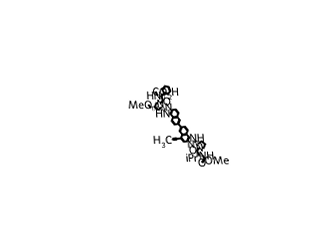 CC#Cc1cc2nc([C@@H]3CCCN3C(=O)[C@@H](NC(=O)OC)C(C)C)[nH]c2c2ccc(-c3ccc4c(ccc5nc([C@@H]6C[C@H](COC)CN6C(=O)[C@H](NC(=O)O)c6ccccc6)[nH]c54)c3)cc12